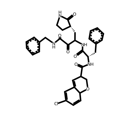 O=C(NCc1ccccc1)C(=O)C(C[C@@H]1CCNC1=O)NC(=O)[C@H](Cc1ccccc1)NC(=O)C1C=C2C=C(Cl)C=CC2OC1